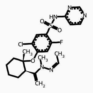 C=C([C@H]1CCCC[C@]1(C)Oc1cc(F)c(S(=O)(=O)Nc2ccncn2)cc1Cl)N(C)/N=C\C